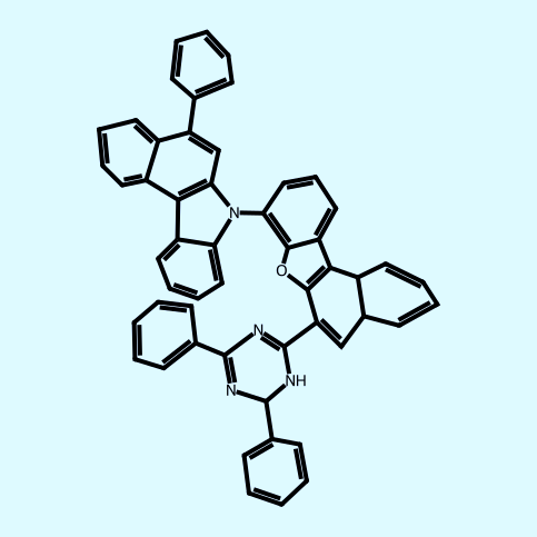 C1=CC2C=C(C3=NC(c4ccccc4)=NC(c4ccccc4)N3)c3oc4c(-n5c6ccccc6c6c7ccccc7c(-c7ccccc7)cc65)cccc4c3C2C=C1